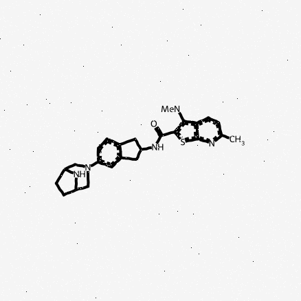 CNc1c(C(=O)NC2Cc3ccc(N4CC5CCC(C4)N5)cc3C2)sc2nc(C)ccc12